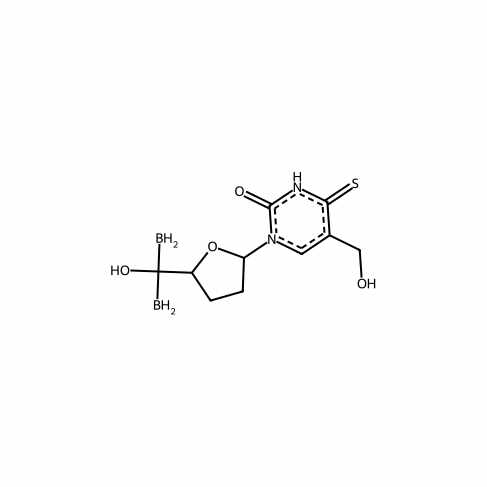 BC(B)(O)C1CCC(n2cc(CO)c(=S)[nH]c2=O)O1